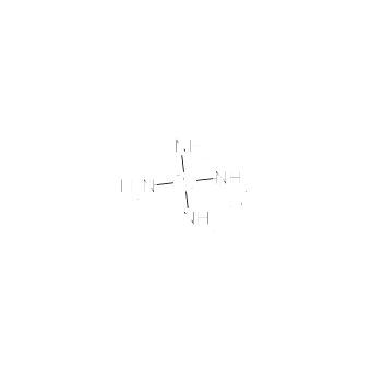 [NH2][Pt]([NH2])([NH2])[NH2].[O]